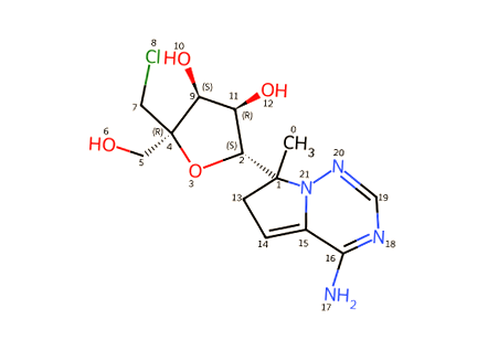 CC1([C@@H]2O[C@@](CO)(CCl)[C@@H](O)[C@H]2O)CC=C2C(N)=NC=NN21